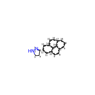 C1=NNCC1.c1cc2ccc3cccc4ccc(c1)c2c34